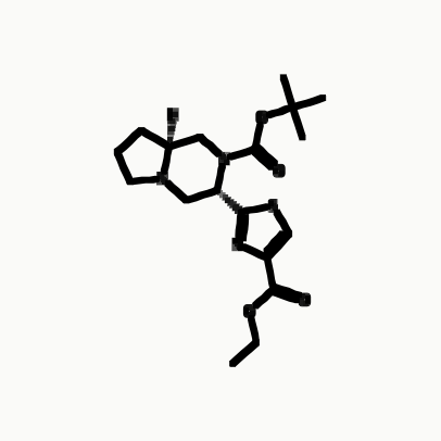 CCOC(=O)c1csc([C@@H]2CN3CCC[C@H]3CN2C(=O)OC(C)(C)C)n1